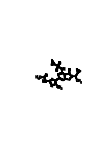 CC(=O)Nc1nc(C)c(-c2cc3c(c(NS(=O)(=O)C4CC4)c2)C(=O)N(C(C)C2CC2)C3)s1